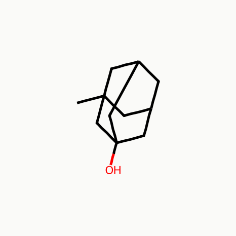 CC12CC3CC(C1)CC(O)(C3)C2